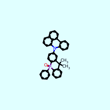 CC1(C)c2ccccc2P(=O)(c2ccccc2)c2ccc(N3c4ccccc4-c4cccc5cccc3c45)cc21